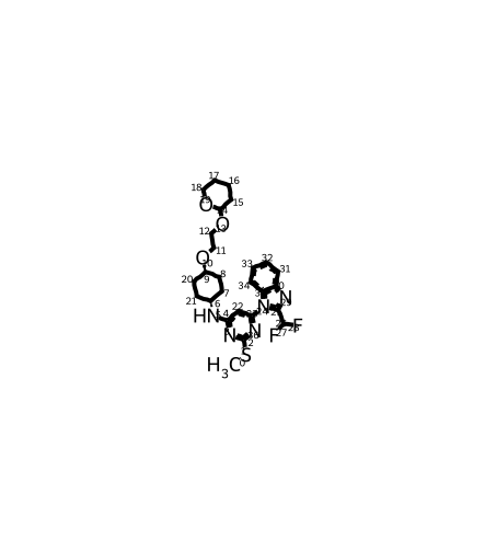 CSc1nc(N[C@H]2CC[C@H](OCCOC3CCCCO3)CC2)cc(-n2c(C(F)F)nc3ccccc32)n1